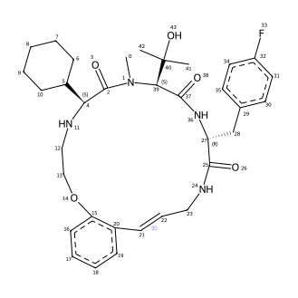 CN1C(=O)[C@H](C2CCCCC2)NCCOc2ccccc2/C=C/CNC(=O)[C@@H](Cc2ccc(F)cc2)NC(=O)[C@@H]1C(C)(C)O